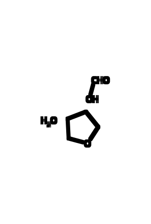 C1CCOC1.O.O=CO